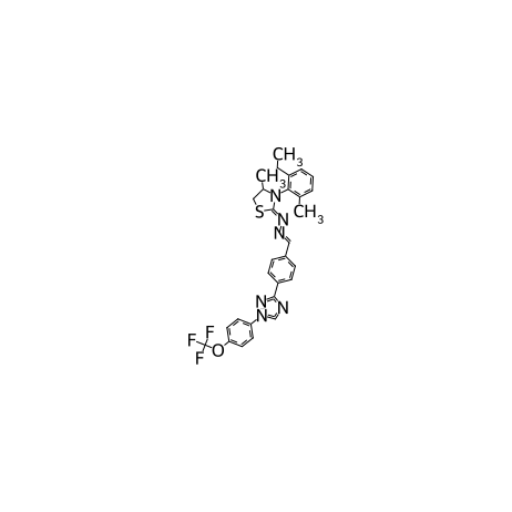 CCc1cccc(C)c1N1/C(=N/N=C/c2ccc(-c3ncn(-c4ccc(OC(F)(F)F)cc4)n3)cc2)SCC1C